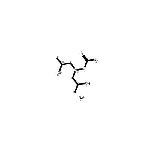 CCC(=O)ON(CC(C)O)CC(C)O.[NaH]